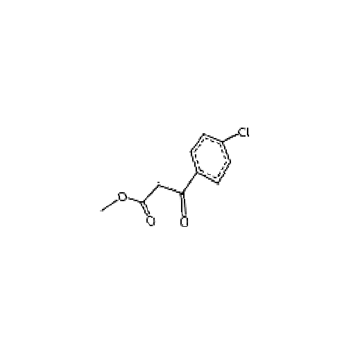 COC(=O)[CH]C(=O)c1ccc(Cl)cc1